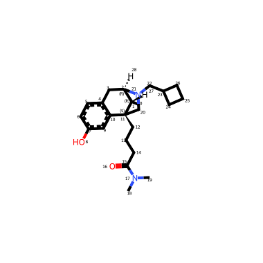 C[C@H]1[C@H]2Cc3ccc(O)cc3[C@@]1(CCCC(=O)N(C)C)CN2CC1CCC1